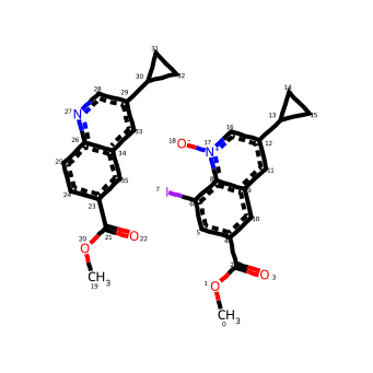 COC(=O)c1cc(I)c2c(c1)cc(C1CC1)c[n+]2[O-].COC(=O)c1ccc2ncc(C3CC3)cc2c1